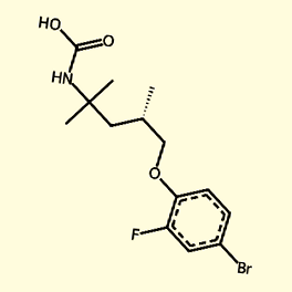 C[C@H](COc1ccc(Br)cc1F)CC(C)(C)NC(=O)O